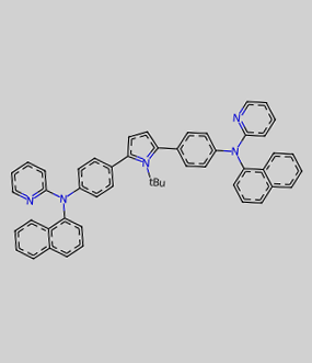 CC(C)(C)n1c(-c2ccc(N(c3ccccn3)c3cccc4ccccc34)cc2)ccc1-c1ccc(N(c2ccccn2)c2cccc3ccccc23)cc1